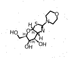 OC[C@H]1O[C@@H]2SC(N3CCOCC3)=N[C@@H]2[C@@H](O)[C@H]1O